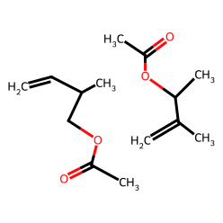 C=C(C)C(C)OC(C)=O.C=CC(C)COC(C)=O